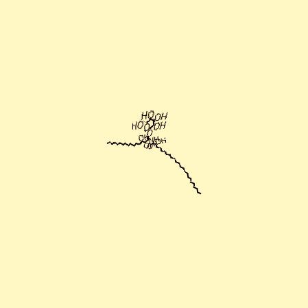 CCCCCCCCCCCCCCCCCCCCCC[C@H](O)C(=O)NC(CO[C@H]1O[C@H](CO)[C@H](O)[C@H](O)[C@H]1O)C(O)[C@H](O)CCCCCCCCCCCCC